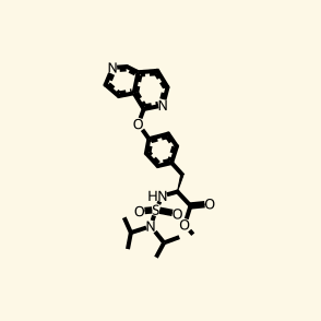 COC(=O)[C@H](Cc1ccc(Oc2nccc3cnccc23)cc1)NS(=O)(=O)N(C(C)C)C(C)C